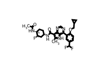 CC(=O)N[C@@H]1CC[C@H](NC(=O)c2c(C)[nH]c3c(-c4cc(C(F)F)ccc4OCC4CC4)ncnc23)C[C@H]1F